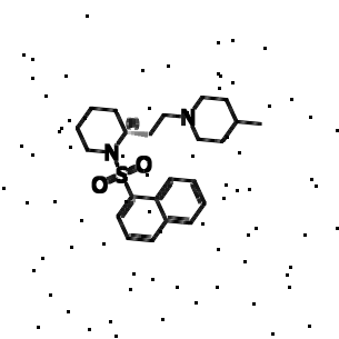 CC1CCN(CC[C@H]2CCCCN2S(=O)(=O)c2cccc3ccccc23)CC1